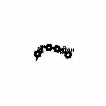 O=C(NC1(C(=O)O)CCCCC1)c1ccc(-c2ccc(Nc3nc4ccc(F)cc4s3)cc2)cc1